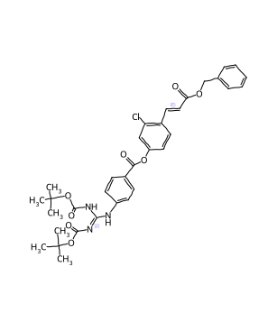 CC(C)(C)OC(=O)/N=C(\NC(=O)OC(C)(C)C)Nc1ccc(C(=O)Oc2ccc(/C=C/C(=O)OCc3ccccc3)c(Cl)c2)cc1